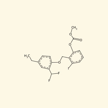 CCc1ccc(OCc2c(I)cccc2OC(=O)OC)c(C(F)F)c1